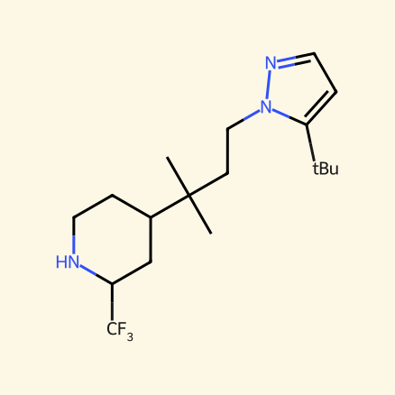 CC(C)(C)c1ccnn1CCC(C)(C)C1CCNC(C(F)(F)F)C1